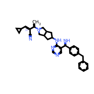 C=C(/C(C#N)=C/C1CC1)N1CC2CC(Nc3ncncc3C(=N)c3ccc(Cc4ccccc4)cc3)CC2C1